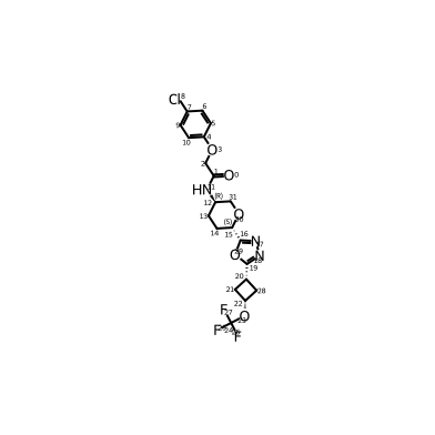 O=C(COc1ccc(Cl)cc1)N[C@@H]1CC[C@@H](c2nnc([C@H]3C[C@@H](OC(F)(F)F)C3)o2)OC1